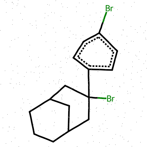 Brc1ccc(C2(Br)CC3CCCC(C3)C2)cc1